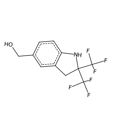 OCc1ccc2c(c1)CC(C(F)(F)F)(C(F)(F)F)N2